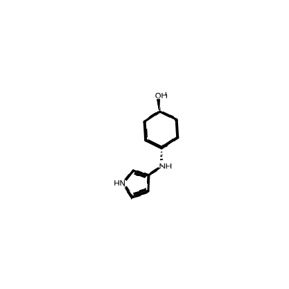 O[C@H]1CC[C@H](Nc2cc[nH]c2)CC1